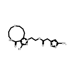 CCc1nn(CCOC(=O)Cc2cc(C)sn2)c2c1C(=O)NCCCOCCC2